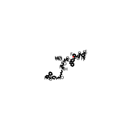 Cc1nc(NCCCCCC(=O)N(C)CCN2CCC(N(C(=O)O)c3ccccc3-c3ccccc3)CC2)sc1C(=O)N(C)CCN(C)C(=O)CO[C@H]1Cc2ccccc2C12CCN(CC[C@]1(c3ccc(F)cc3)CN(C(=O)c3cc(C(F)(F)F)cc(C(F)(F)F)c3)CO1)CC2.Cl.Cl.Cl